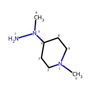 CN1CCC(N(C)N)CC1